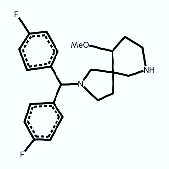 COC1CCNCC12CCN(C(c1ccc(F)cc1)c1ccc(F)cc1)C2